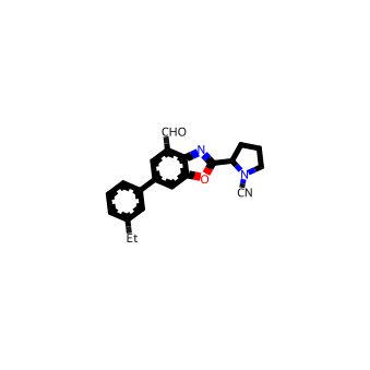 CCc1cccc(-c2cc(C=O)c3nc(C4CCCN4C#N)oc3c2)c1